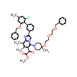 COC(=O)C(=O)c1c(C)c(C)c2nc(-c3cccc(-c4c(F)cc(C)cc4OCc4ccccc4)c3)cn2c1N1CCC(C)(OCCOCCOCc2ccccc2)CC1